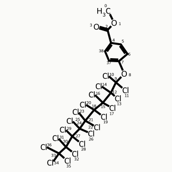 COC(=O)c1ccc(OC(Cl)(Cl)C(Cl)(Cl)C(Cl)(Cl)C(Cl)(Cl)C(Cl)(Cl)C(Cl)(Cl)C(Cl)(Cl)C(Cl)(Cl)C(Cl)(Cl)Cl)cc1